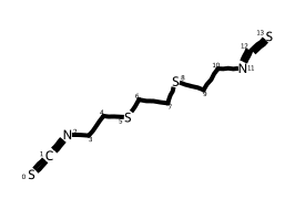 S=C=NCCSCCSCCN=C=S